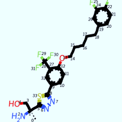 C[C@](N)(CO)c1nnc(-c2ccc(OCCCCCc3ccc(F)c(F)c3)c(C(F)(F)F)c2)s1